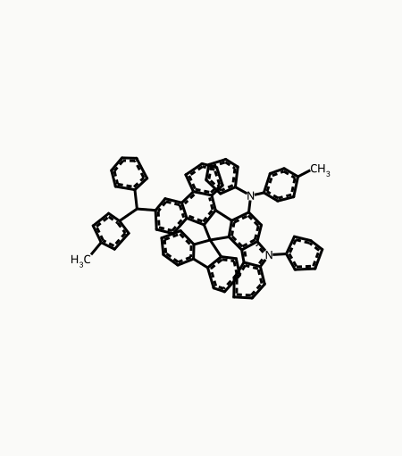 Cc1ccc(C(c2ccccc2)c2ccc3c4c(c5ccccc5c3c2)-c2c(N(c3ccccc3)c3ccc(C)cc3)cc3c(c2C42c4ccccc4-c4ccccc42)c2ccccc2n3-c2ccccc2)cc1